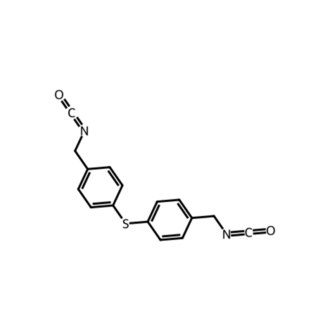 O=C=NCc1ccc(Sc2ccc(CN=C=O)cc2)cc1